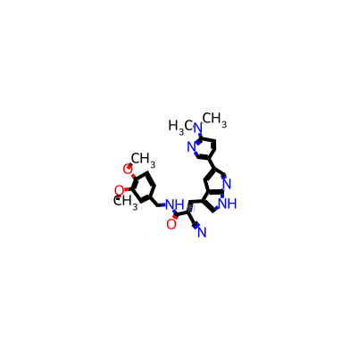 COc1ccc(CNC(=O)/C(C#N)=C/c2c[nH]c3ncc(-c4ccc(N(C)C)nc4)cc23)cc1OC